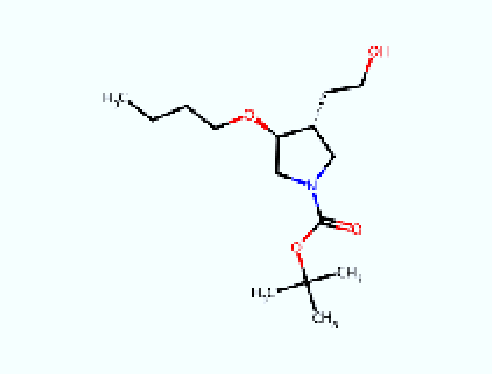 CCCCO[C@@H]1CN(C(=O)OC(C)(C)C)C[C@H]1CCO